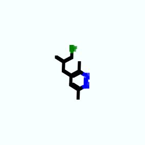 Cc1cc(CC(C)CBr)c(C)nn1